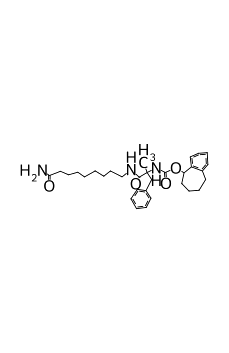 CC(Cc1ccccc1)(NC(=O)OC1CCCCc2ccccc21)C(=O)NCCCCCCCCC(N)=O